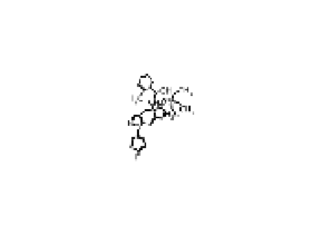 CC[Si](CC)(CC)O[C@@]1(CC(O)c2ncccc2C)CCC2=Cc3c(cnn3-c3ccc(F)cc3)C[C@@]21C